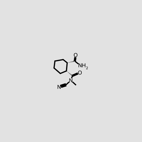 CN(C#N)C(=O)[C@@H]1CCCC[C@@H]1C(N)=O